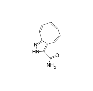 NC(=O)c1[nH]nc2c1C=CC=CC=C2